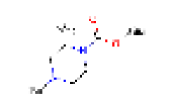 CC(C)(C)OC(=O)N1CCN(C(C)(C)C)C[C@@H]1C(=O)O